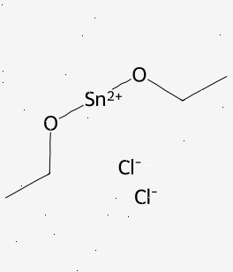 CC[O][Sn+2][O]CC.[Cl-].[Cl-]